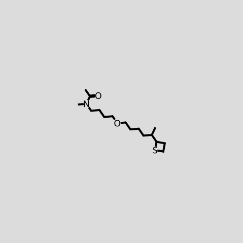 CC(=O)N(C)CCCCOCCCCC(C)C1CCS1